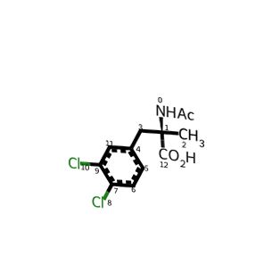 CC(=O)N[C@](C)(Cc1ccc(Cl)c(Cl)c1)C(=O)O